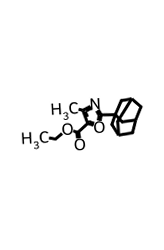 CCOC(=O)c1oc(C23CC4CC(CC(C4)C2)C3)nc1C